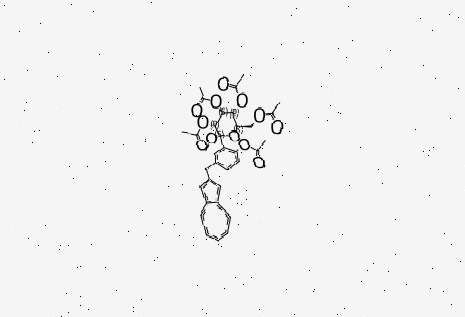 CO[C@@]1(c2cc(Cc3cc4cccccc-4c3)ccc2OC(C)=O)O[C@H](COC(C)=O)[C@@H](OC(C)=O)[C@H](OC(C)=O)[C@H]1OC(C)=O